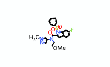 COCCN(C(=O)c1cc2ccc(F)cc2n1S(=O)(=O)c1ccccc1)c1cnn(C)c1